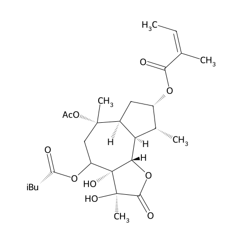 C/C=C(/C)C(=O)O[C@H]1C[C@H]2[C@@H]([C@H]1C)[C@@H]1OC(=O)[C@@](C)(O)[C@@]1(O)C(OC(=O)[C@@H](C)CC)C[C@]2(C)OC(C)=O